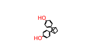 Oc1ccc(C2(c3ccc(O)cc3)C3CCC2C3)cc1